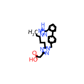 CCCCCc1nc(CC(=O)O)nn1Cc1ccc(-c2ccccc2-c2nnn[nH]2)cc1